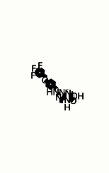 Cc1nc(NCc2ccc(OCc3cc(F)c(F)c(F)c3)cc2)nc2c1NC(=O)[C@@](C)(O)N2C